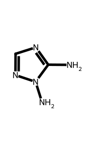 Nc1ncnn1N